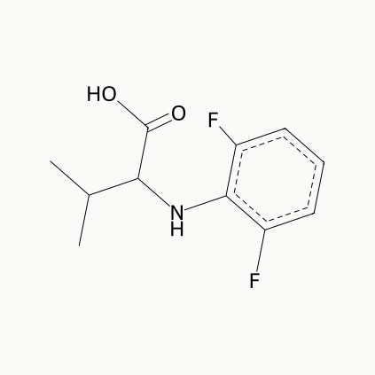 CC(C)C(Nc1c(F)cccc1F)C(=O)O